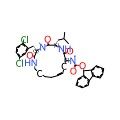 CC(C)C[C@@H]1NC(=O)[C@@H](N(C)C(=O)OC2c3ccccc3-c3ccccc32)CC=CCCCCNC(=O)[C@H](Cc2cc(Cl)ccc2Cl)N(C)C1=O